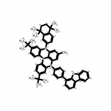 Cc1cc2c3c(c1)N(c1ccc4c(c1)C(C)(C)CCC4(C)C)c1cc(C(C)(C)C)ccc1B3c1ccc(C(C)(C)C)cc1N2c1ccc(-c2cccc3c2oc2ccccc23)cc1